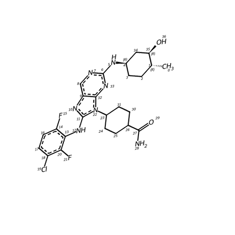 C[C@@H]1CC[C@@H](Nc2ncc3nc(Nc4c(F)ccc(Cl)c4F)n(C4CCC(C(N)=O)CC4)c3n2)C[C@H]1O